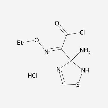 CCON=C(C(=O)Cl)C1(N)N=CSN1.Cl